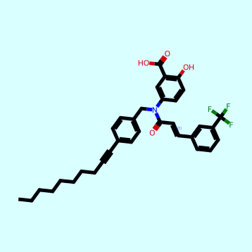 CCCCCCCCC#Cc1ccc(CN(C(=O)/C=C/c2cccc(C(F)(F)F)c2)c2ccc(O)c(C(=O)O)c2)cc1